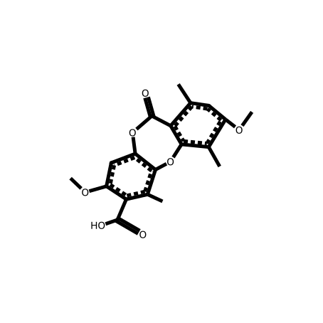 COc1cc(C)c2c(c1C)Oc1c(cc(OC)c(C(=O)O)c1C)OC2=O